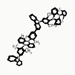 Cc1cccc(C)c1B1c2ccccc2B(c2c(C)cc(-n3c4ccccc4c4cc(-c5cc(C)c(B6c7ccccc7B(c7c(C)cc(-n8c9ccccc9c9ccccc98)cc7C)c7ccccc76)c(C)c5)ccc43)cc2C)c2ccccc21